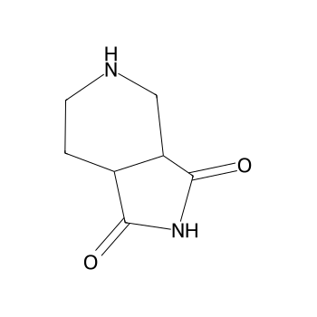 O=C1NC(=O)C2CNCCC12